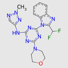 Cn1ncc(Nc2nc(N3CCOCC3)nc(-n3c(C(F)F)nc4ccccc43)n2)n1